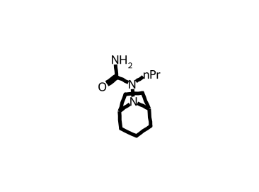 CCCN(C(N)=O)N1C2CCCC1CC2